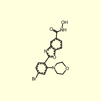 O=C(NO)c1ccc2oc(-c3ccc(Br)cc3N3CCOCC3)nc2c1